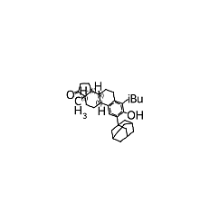 CCC(C)c1c(O)c(C23CC4CC(CC(C4)C2)C3)cc2c1CC[C@@H]1[C@@H]2CC[C@]2(C)C(=O)CC[C@@H]12